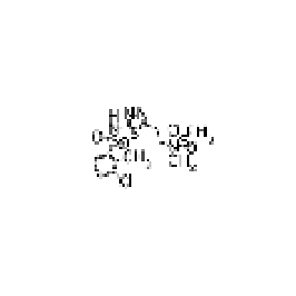 Cc1c(Cl)cccc1S(=O)(=O)Nc1nnc(CCN(C)S(C)(=O)=O)s1